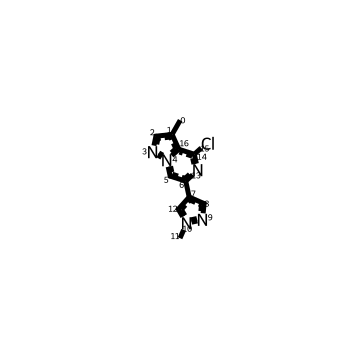 Cc1cnn2cc(-c3cnn(C)c3)nc(Cl)c12